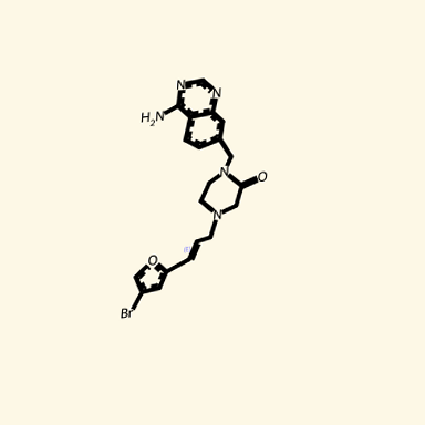 Nc1ncnc2cc(CN3CCN(C/C=C/c4cc(Br)co4)CC3=O)ccc12